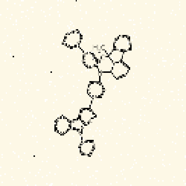 CC1(C)c2ccccc2C2=CC=CC(N(c3ccc(-c4ccccc4)cc3)c3ccc(-c4ccc5c(c4)c4ccccc4n5-c4ccccc4)cc3)C21